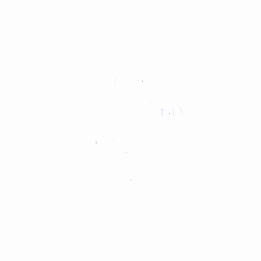 CCCCCCC(Cc1ccccc1)C(N)(CCC)CCC.O